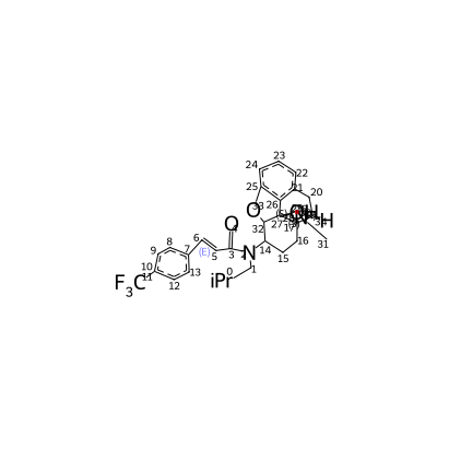 CC(C)CN(C(=O)/C=C/c1ccc(C(F)(F)F)cc1)C1CC[C@@]2(O)[C@H]3Cc4cccc5c4[C@@]2(CCN3C)C1O5